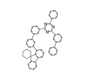 c1ccc(-c2cccc(-c3nc(-c4ccccc4)nc(-c4cccc(-c5cccc(-c6cccc7c6C6(CCCCC6)c6ccccc6-7)c5)c4)n3)c2)cc1